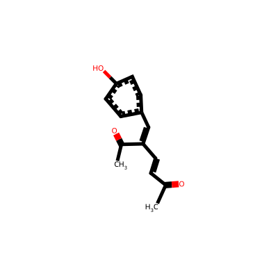 CC(=O)C=CC(=Cc1ccc(O)cc1)C(C)=O